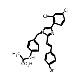 CC(Nc1ccc(Cn2cc(-c3ccc(Cl)cc3Cl)nc2C=Cc2ccc(Br)cc2)cc1)C(=O)O